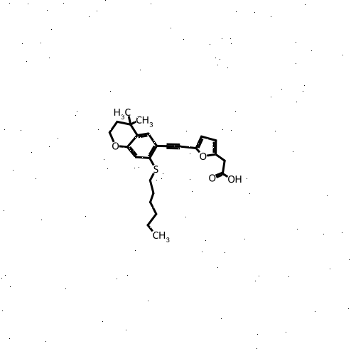 CCCCCCSc1cc2c(cc1C#Cc1ccc(CC(=O)O)o1)C(C)(C)CCO2